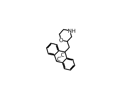 c1ccc2c(c1)C1CCC2(CC2CNCCO2)c2ccccc21